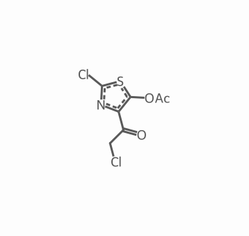 CC(=O)Oc1sc(Cl)nc1C(=O)CCl